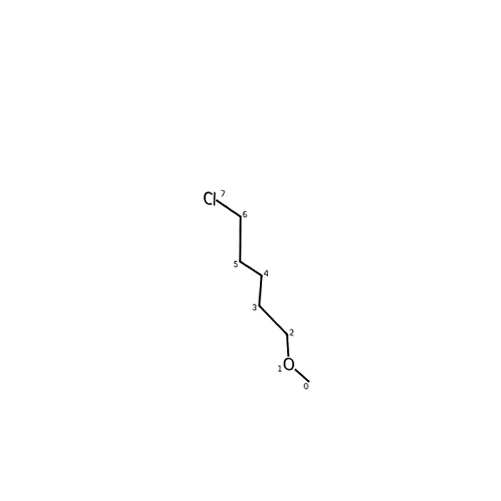 COCCCCCCl